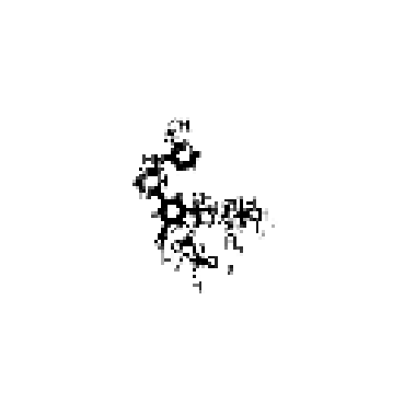 COc1ncccc1Nc1ncnc(-c2cc(C#N)c3c(c2)C(C)(CO[Si](C)(C)C(C)(C)C)CN3C(=O)OC(C)(C)C)n1